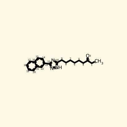 CCC(=O)CCCCCCc1nc(-c2ccc3ccccc3c2)n[nH]1